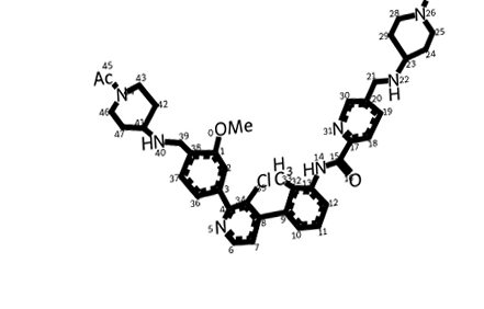 COc1cc(-c2nccc(-c3cccc(NC(=O)c4ccc(CNC5CCN(C(C)=O)CC5)cn4)c3C)c2Cl)ccc1CNC1CCN(C(C)=O)CC1